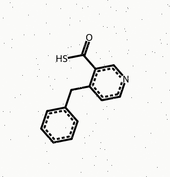 O=C(S)c1cnccc1Cc1ccccc1